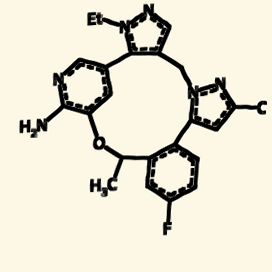 CCn1ncc2c1-c1cnc(N)c(c1)OC(C)c1cc(F)ccc1-c1cc(Cl)nn1C2